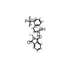 O=C1c2ccccc2C(=O)N1C[C@H](Cc1ccccc1C(F)(F)F)NO